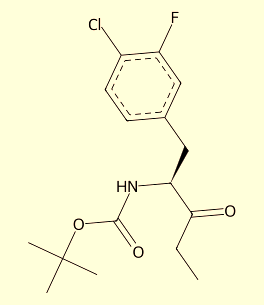 CCC(=O)[C@H](Cc1ccc(Cl)c(F)c1)NC(=O)OC(C)(C)C